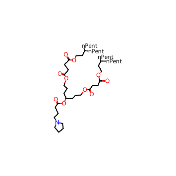 CCCCCC(CCCCC)CCOC(=O)CCC(=O)OCCCC(CCCOC(=O)CCC(=O)OCCC(CCCCC)CCCCC)OC(=O)CCCN1CCCC1